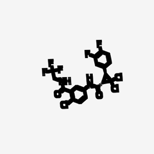 O=C(NCC(F)(F)F)c1cc(NC(=O)[C@@H]2[C@@H](c3ccc(F)c(F)c3)C2(Cl)Cl)ccc1Cl